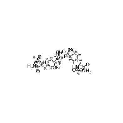 CS(=O)(=O)NC(Cc1ccc(C(F)(F)O[PH](=O)OC(F)(F)c2ccc(CC(NS(C)(=O)=O)C(N)=O)cc2Br)c(Br)c1)C(N)=O